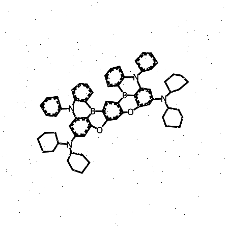 c1ccc(N2c3ccccc3B3c4cc5c(cc4Oc4cc(N(C6CCCCC6)C6CCCCC6)cc2c43)Oc2cc(N(C3CCCCC3)C3CCCCC3)cc3c2B5c2ccccc2N3c2ccccc2)cc1